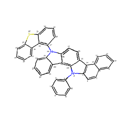 c1ccc(-n2c3ccc4ccccc4c3c3ccc4c(c5ccccc5n4-c4cccc5sc6ccccc6c45)c32)cc1